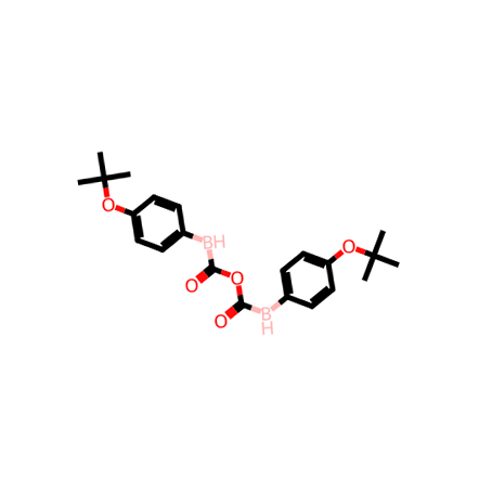 CC(C)(C)Oc1ccc(BC(=O)OC(=O)Bc2ccc(OC(C)(C)C)cc2)cc1